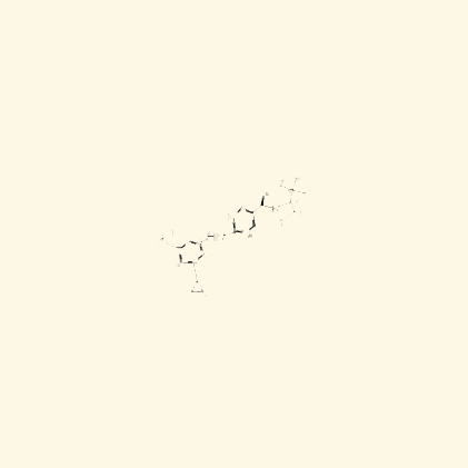 CC(C)Oc1cc(CNc2ncc(C(=O)N3CCC3C(C)(C)O)cn2)cc(C2CC2)c1